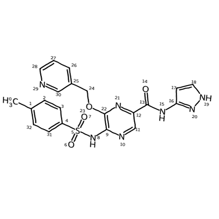 Cc1ccc(S(=O)(=O)Nc2ncc(C(=O)Nc3cc[nH]n3)nc2OCc2cccnc2)cc1